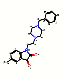 CC(C)c1ccc2c(c1)C(=O)C(=O)N2CCN1CCN(Cc2ccccc2)CC1